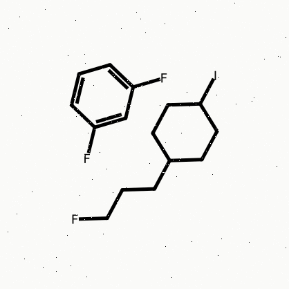 FCCCC1CCC(I)CC1.Fc1cccc(F)c1